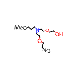 COCCCN(CCOCCO)CCOCCN=O